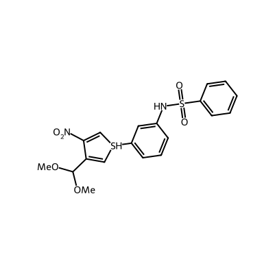 COC(OC)C1=C[SH](c2cccc(NS(=O)(=O)c3ccccc3)c2)C=C1[N+](=O)[O-]